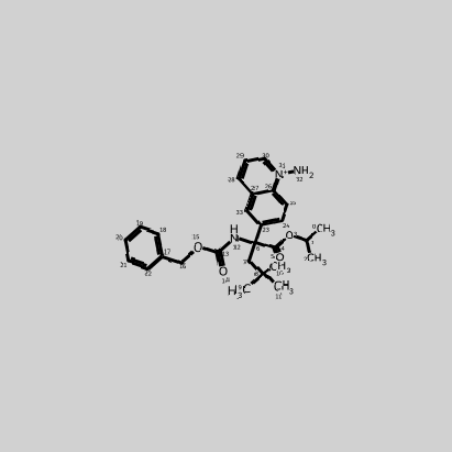 CC(C)OC(=O)C(CC(C)(C)C)(NC(=O)OCc1ccccc1)c1ccc2c(ccc[n+]2N)c1